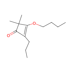 CCCCOC1=C(CCC)C(=O)C1(C)C